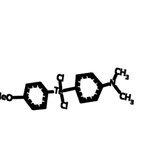 COc1ccc([Te](Cl)(Cl)c2ccc(N(C)C)cc2)cc1